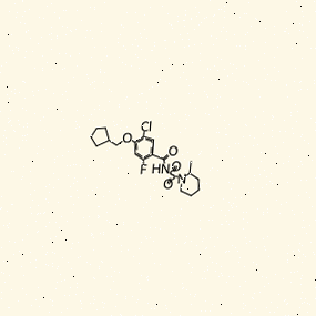 CC1CCCCN1S(=O)(=O)NC(=O)c1cc(Cl)c(OCC2CCCC2)cc1F